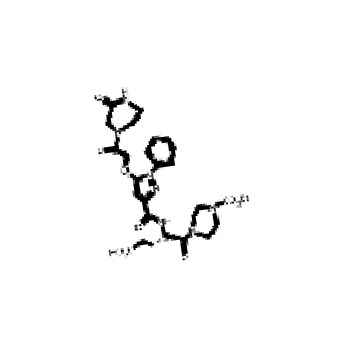 CCOC(=O)N1CCN(C(=O)[C@H](CCC(=O)O)NC(=O)c2cc(OCC(=O)N3CCNC(=O)C3)n(-c3ccccc3)n2)CC1